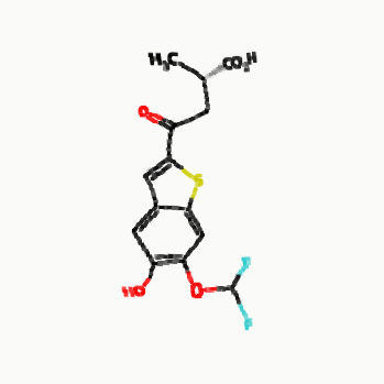 C[C@@H](CC(=O)c1cc2cc(O)c(OC(F)F)cc2s1)C(=O)O